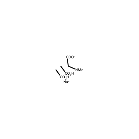 CC(=O)O.CC(=O)O.CNCC(=O)[O-].[Na+]